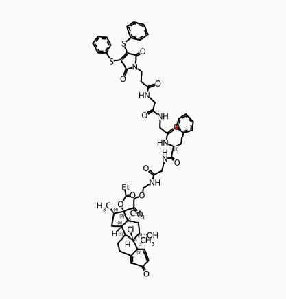 CCC(=O)O[C@]1(C(=O)COCNC(=O)CNC(=O)[C@H](Cc2ccccc2)NC(=O)CNC(=O)CNC(=O)CCN2C(=O)C(Sc3ccccc3)=C(Sc3ccccc3)C2=O)[C@H](C)C[C@H]2[C@@H]3CCC4=CC(=O)C=C[C@]4(C)[C@@]3(Cl)[C@@H](O)C[C@@]21C